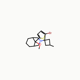 COC1(c2ccc(Br)s2)C2CCCC1CN(C1(C)CC(C)C1)C2